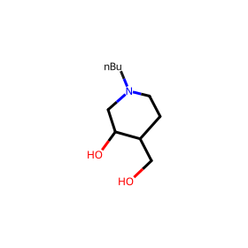 CCCCN1CCC(CO)C(O)C1